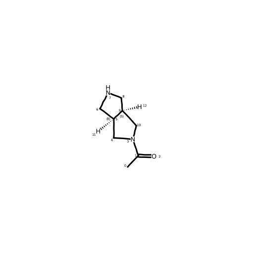 CC(=O)N1C[C@H]2CNC[C@H]2C1